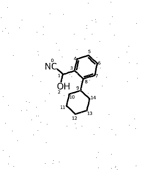 N#CC(O)c1ccccc1C1CCCCC1